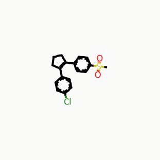 CS(=O)(=O)c1ccc(C2=C(c3ccc(Cl)cc3)CCC2)cc1